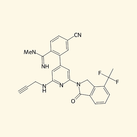 C#CCNc1cc(-c2cc(C#N)ccc2C(=N)NC)cc(N2Cc3c(cccc3C(C)(F)F)C2=O)n1